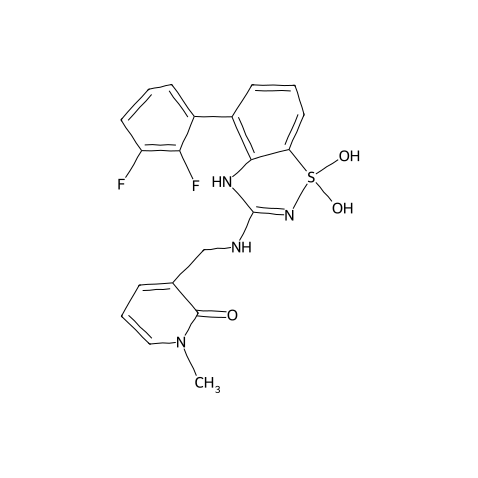 Cn1cccc(CNC2=NS(O)(O)c3cccc(-c4cccc(F)c4F)c3N2)c1=O